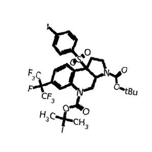 CC(C)(C)OC(=O)N1CCC2(S(=O)(=O)c3ccc(I)cc3)c3ccc(C(F)(C(F)(F)F)C(F)(F)F)cc3N(C(=O)OC(C)(C)I)CC12